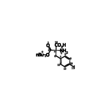 CCCCOC(=O)C(N)(Cc1ccc(I)cc1)C(=O)O